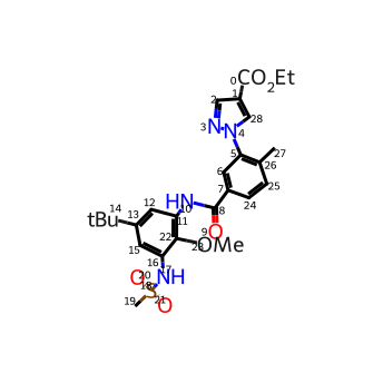 CCOC(=O)c1cnn(-c2cc(C(=O)Nc3cc(C(C)(C)C)cc(NS(C)(=O)=O)c3OC)ccc2C)c1